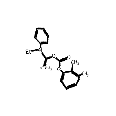 CCN(c1ccccc1)C(C)OC(=O)Oc1cccc(C)c1C